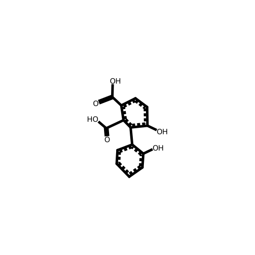 O=C(O)c1ccc(O)c(-c2ccccc2O)c1C(=O)O